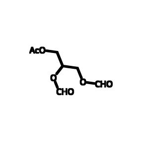 CC(=O)OCC(COC=O)OC=O